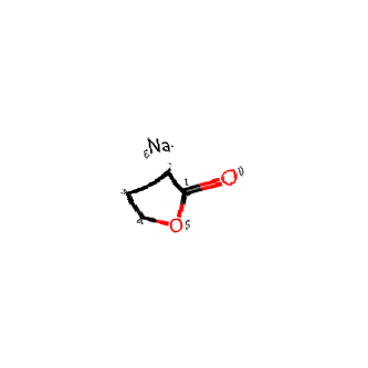 O=C1CCCO1.[Na]